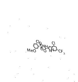 COc1ccc(Cl)c(S(=O)(=O)NC(=O)c2cc3c(Cl)cc(C(F)(F)F)cn3n2)c1